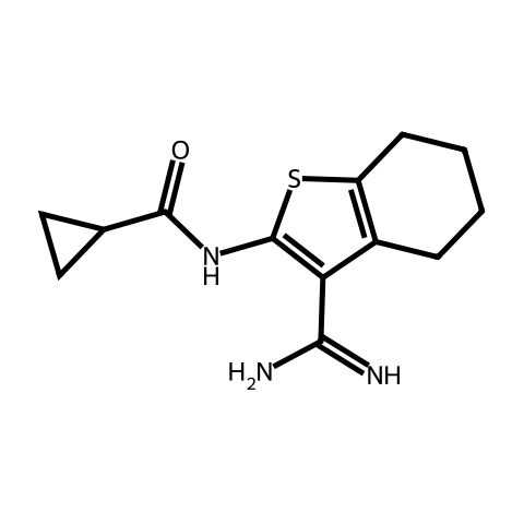 N=C(N)c1c(NC(=O)C2CC2)sc2c1CCCC2